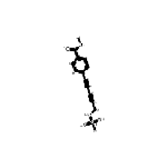 COC(=O)c1ccc(C#CC#CCOS(C)(=O)=O)cc1